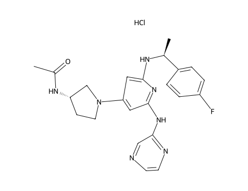 CC(=O)N[C@H]1CCN(c2cc(Nc3cnccn3)nc(N[C@@H](C)c3ccc(F)cc3)c2)C1.Cl